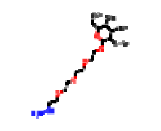 CC(=O)NC1C(OCCOCCOCCOCCNN)OC(COC(C)=O)C(OC(C)=O)C1OC(C)=O